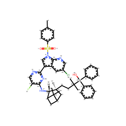 Cc1ccc(S(=O)(=O)n2cc(-c3ncc(F)c(N[C@H]4C5CC(C[C@@H]4CCC(C)(C)[Si](O)(c4ccccc4)c4ccccc4)C5(C)C)n3)c3cc(Cl)cnc32)cc1